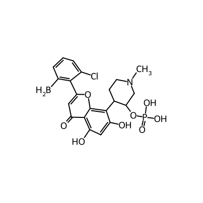 Bc1cccc(Cl)c1-c1cc(=O)c2c(O)cc(O)c(C3CCN(C)CC3OP(=O)(O)O)c2o1